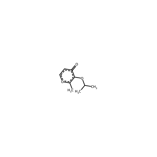 Cc1occc(=O)c1OC(C)C